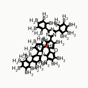 Bc1c(B)c(B)c(-c2nc(-c3c(B)c(B)c(B)c(B)c3B)nc(-c3c(B)c(B)c4c(oc5c(B)c(B)c(B)c(-n6c7c(B)c(B)c(B)c(B)c7c7c(B)c(-c8c(B)c(B)c(B)c(B)c8B)c(B)c(B)c76)c54)c3B)n2)c(B)c1B